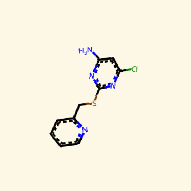 Nc1cc(Cl)nc(SCc2ccccn2)n1